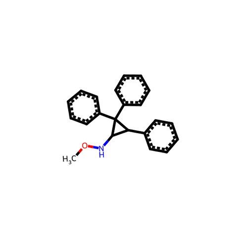 CONC1C(c2ccccc2)C1(c1ccccc1)c1ccccc1